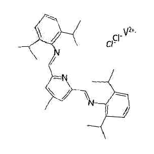 Cc1cc(C=Nc2c(C(C)C)cccc2C(C)C)nc(C=Nc2c(C(C)C)cccc2C(C)C)c1.[Cl-].[Cl-].[V+2]